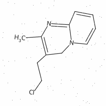 CC1=C(CCCl)CN2C=CC=CC2=N1